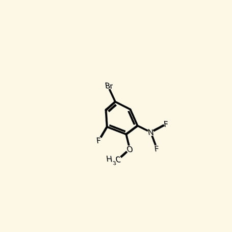 COc1c(F)cc(Br)cc1N(F)F